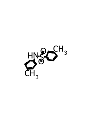 Cc1ccc(NS(=O)(=O)c2cccc(C)c2)cc1